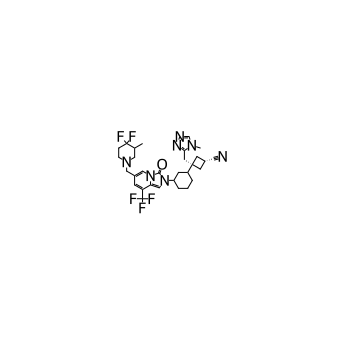 CC1CN(Cc2cc(C(F)(F)F)c3cn(C4CCCC([C@]5(Cc6nncn6C)C[C@@H](C#N)C5)C4)c(=O)n3c2)CCC1(F)F